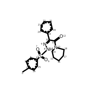 Cc1ccc(S(=O)(=O)NN=C(C(=O)N2CCCCC2)c2ccccc2)cc1